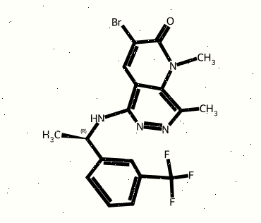 Cc1nnc(N[C@H](C)c2cccc(C(F)(F)F)c2)c2cc(Br)c(=O)n(C)c12